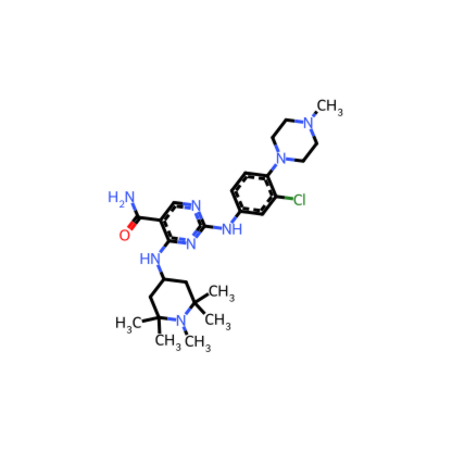 CN1CCN(c2ccc(Nc3ncc(C(N)=O)c(NC4CC(C)(C)N(C)C(C)(C)C4)n3)cc2Cl)CC1